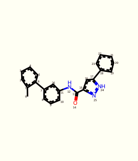 Cc1ccccc1-c1cccc(NC(=O)c2cc(-c3ccccc3)[nH]n2)c1